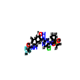 C=C(C)c1cc(OC)c(Nc2ncc(Cl)c(Nc3ccccc3S(=O)(=O)C(C)C)n2)cc1CCNC(=O)C(F)(F)F